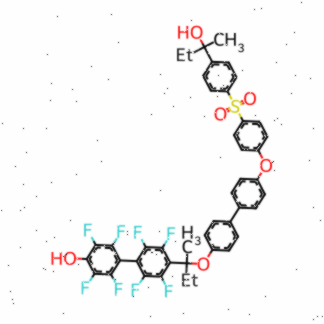 CCC(C)(O)c1ccc(S(=O)(=O)c2ccc(Oc3ccc(-c4ccc(OC(C)(CC)c5c(F)c(F)c(-c6c(F)c(F)c(O)c(F)c6F)c(F)c5F)cc4)cc3)cc2)cc1